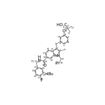 Cc1c(Cc2cccc(OC(C)(C)C(=O)O)c2)c2ccc(C(=O)N[C@@H](C)c3ccc(F)c(C(C)(C)C)c3)cc2n1CC(C)C